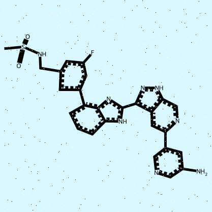 CS(=O)(=O)NCc1cc(F)cc(-c2cccc3[nH]c(-c4n[nH]c5cnc(-c6cncc(N)c6)cc45)nc23)c1